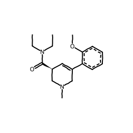 CCN(CC)C(=O)[C@H]1C=C(c2ccccc2OC)CN(C)C1